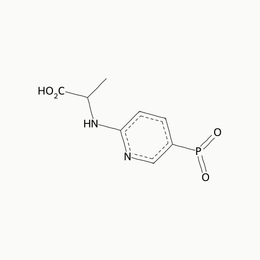 CC(Nc1ccc(P(=O)=O)cn1)C(=O)O